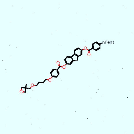 CCCCCc1ccc(C(=O)Oc2ccc3c(c2)Cc2cc(OC(=O)c4ccc(OCCCCOCC5(C)COC5)cc4)ccc2-3)cc1